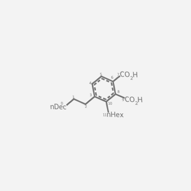 CCCCCCCCCCCCc1ccc(C(=O)O)c(C(=O)O)c1CCCCCC